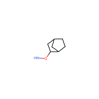 [NH]OC1CC2CCC1C2